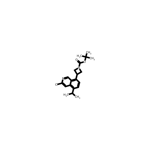 CC(C)c1ccc(C2CN(C(=O)OC(C)(C)C)C2)c2cnc(Cl)cc12